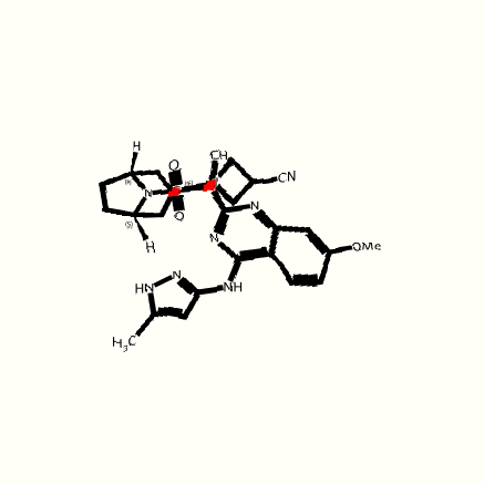 COc1ccc2c(Nc3cc(C)[nH]n3)nc(N(C)[C@@H]3C[C@H]4CC[C@@H](C3)N4S(=O)(=O)N3CC(C#N)C3)nc2c1